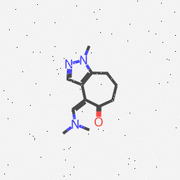 CN(C)C=C1C(=O)CCCc2c1cnn2C